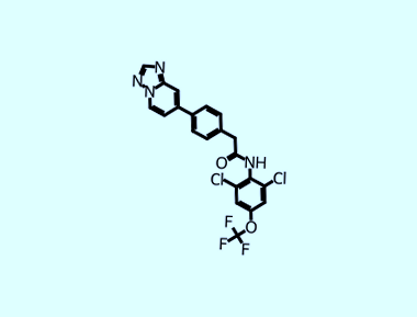 O=C(Cc1ccc(-c2ccn3ncnc3c2)cc1)Nc1c(Cl)cc(OC(F)(F)F)cc1Cl